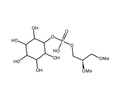 COC[C@H](COP(=O)(O)OC1C(O)C(O)C(O)C(O)C1O)OC